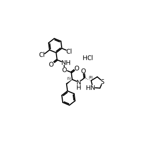 Cl.O=C(NOC(=O)[C@H](Cc1ccccc1)NC(=O)[C@@H]1CSCN1)c1c(Cl)cccc1Cl